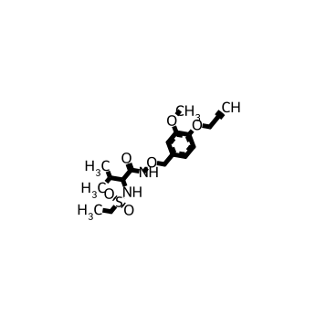 C#CCOc1ccc(CONC(=O)C(NS(=O)(=O)CC)C(C)C)cc1OC